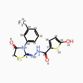 O=C(N/N=C1/SCC(=O)N1c1cccc(C(F)(F)F)c1)c1ccc(O)s1